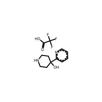 O=C(O)C(F)(F)F.OC1(c2ccccn2)CCNCC1